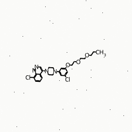 CCCOCCOCCOc1cc(Cl)cc(N2CCN(c3cnnc4c(Cl)cccc34)CC2)c1